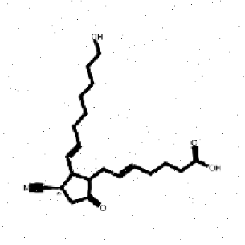 N#C[C@@H]1CC(=O)C(CC=CCCCC(=O)O)C1C=CCCCCCCO